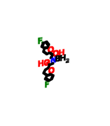 BN(CC(O)C1CCc2cc(F)ccc2O1)CC(O)C1CCc2cc(F)ccc2O1